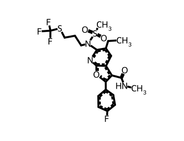 CCc1cc2c(C(=O)NC)c(-c3ccc(F)cc3)oc2nc1N(CCCSC(F)(F)F)S(C)(=O)=O